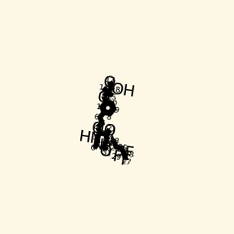 CN1NC(OCCc2cccc(OC(C)(C)C(=O)O)c2)C(=O)N(CCCC(F)(F)F)C1=O